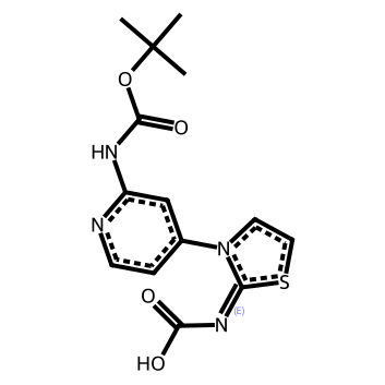 CC(C)(C)OC(=O)Nc1cc(-n2ccs/c2=N/C(=O)O)ccn1